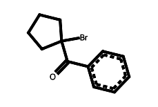 O=C(c1ccccc1)C1(Br)CCCC1